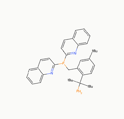 CC(C)(C)c1ccc(C(P)(C(C)(C)C)C(C)(C)C)c(CP(c2ccc3ccccc3n2)c2ccc3ccccc3n2)c1